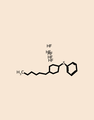 CCCCCCC1CCC(Sc2ccccc2)CC1.F.F.F.F.F